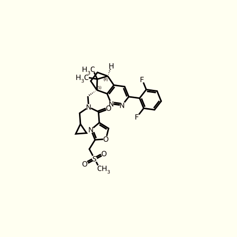 CC1(C)[C@H]2CC[C@]1(CN(CC1CC1)C(=O)c1coc(CS(C)(=O)=O)n1)c1nnc(-c3c(F)cccc3F)cc12